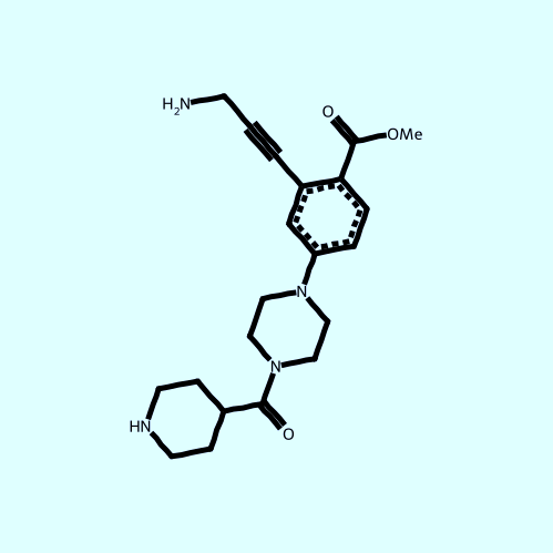 COC(=O)c1ccc(N2CCN(C(=O)C3CCNCC3)CC2)cc1C#CCN